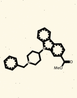 COC(=O)c1ccc2c3ccccc3n(C3CCN(Cc4ccccc4)CC3)c2c1